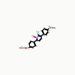 CCCCCCCCOc1ccc(-c2ccc(-c3ccc(CCCCCC)cc3)c(F)[n+]2[O-])cc1